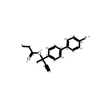 C#CC(C)(OC(=O)CC)c1ccc(-c2ccc(F)cc2)cc1